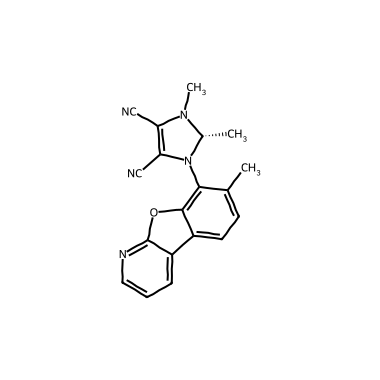 Cc1ccc2c(oc3ncccc32)c1N1C(C#N)=C(C#N)N(C)[C@@H]1C